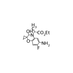 CCOC(=O)C(C)N1c2cc(N)c(F)cc2OC2(CC2)C1O